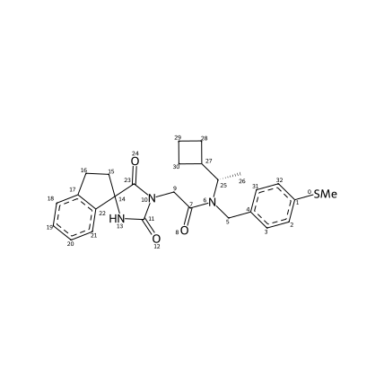 CSc1ccc(CN(C(=O)CN2C(=O)NC3(CCc4ccccc43)C2=O)[C@@H](C)C2CCC2)cc1